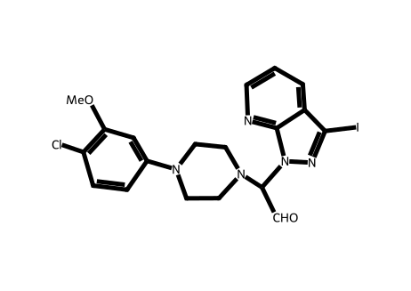 COc1cc(N2CCN(C(C=O)n3nc(I)c4cccnc43)CC2)ccc1Cl